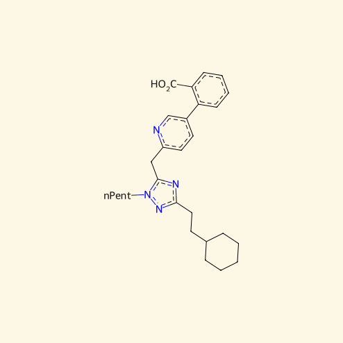 CCCCCn1nc(CCC2CCCCC2)nc1Cc1ccc(-c2ccccc2C(=O)O)cn1